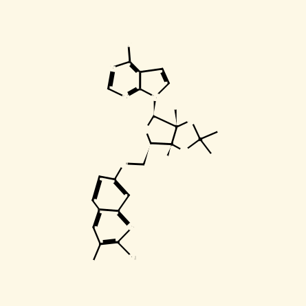 CC1(C)O[C@@H]2[C@H](O1)[C@@H](COc1ccc3cc(Br)c(N)nc3c1)O[C@H]2n1ccc2c(O)ncnc21